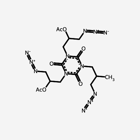 CC(=O)OC(CN=[N+]=[N-])Cn1c(=O)n(CC(C)CN=[N+]=[N-])c(=O)n(CC(CN=[N+]=[N-])OC(C)=O)c1=O